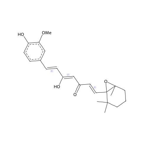 COc1cc(/C=C/C(O)=C/C(=O)/C=C/C23OC2(C)CCCC3(C)C)ccc1O